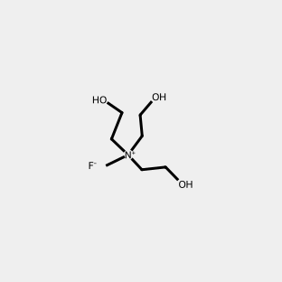 C[N+](CCO)(CCO)CCO.[F-]